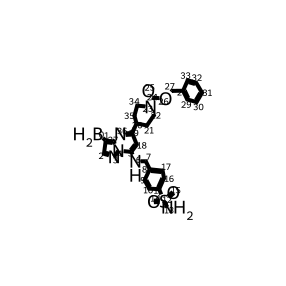 Bc1cnn2c(NCc3ccc(S(N)(=O)=O)cc3)cc(C3CCN(C(=O)OCc4ccccc4)CC3)nc12